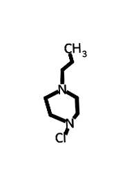 CCCN1CCN(Cl)CC1